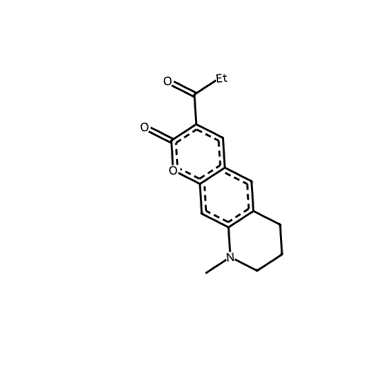 CCC(=O)c1cc2cc3c(cc2oc1=O)N(C)CCC3